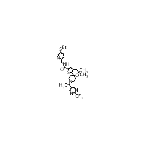 CCSc1ccc(CNC(=O)c2cc3c(s2)C2(CCN(C(C)c4cnc(C(F)(F)F)nc4)CC2)OC(C)(C)C3)nc1